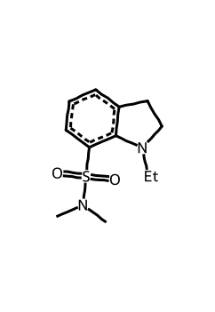 CCN1CCc2cccc(S(=O)(=O)N(C)C)c21